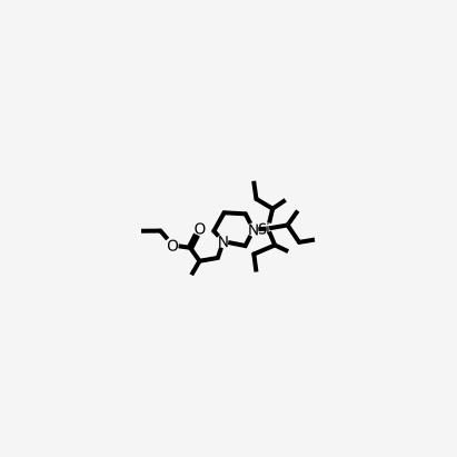 CCOC(=O)C(C)CN1CCCN([Si](C(C)CC)(C(C)CC)C(C)CC)C1